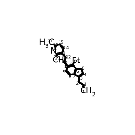 C=CCC1=CCc2c1ccc(CCc1ccc(C)nc1C)c2CC